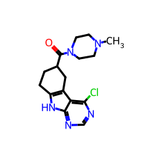 CN1CCN(C(=O)C2CCc3[nH]c4ncnc(Cl)c4c3C2)CC1